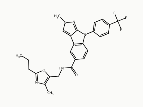 CCCc1nc(C)c(CNC(=O)c2ccc3c(c2)c2cn(C)nc2n3-c2ccc(C(F)(F)F)cc2)o1